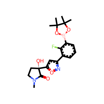 CN1CC[C@@](O)(c2cc(-c3cccc(B4OC(C)(C)C(C)(C)O4)c3F)no2)C1=O